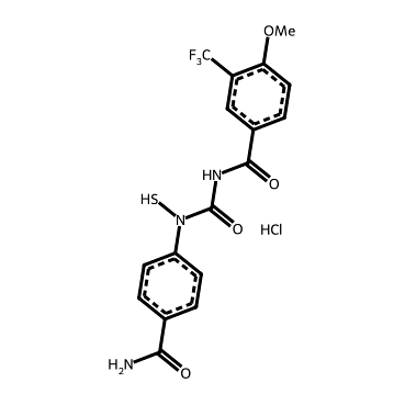 COc1ccc(C(=O)NC(=O)N(S)c2ccc(C(N)=O)cc2)cc1C(F)(F)F.Cl